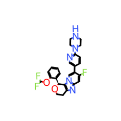 Fc1cc2nc3c(n2cc1-c1ccc(N2CCNCC2)nc1)[C@H](c1ccccc1OC(F)F)OCC3